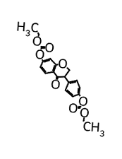 CCOC(=O)Oc1ccc(C2COc3cc(OC(=O)OCC)ccc3C2=O)cc1